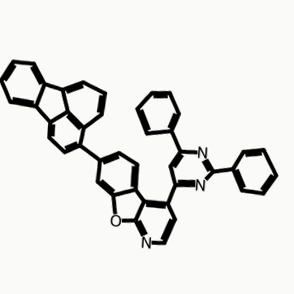 c1ccc(-c2cc(-c3ccnc4oc5cc(-c6ccc7c8c(cccc68)-c6ccccc6-7)ccc5c34)nc(-c3ccccc3)n2)cc1